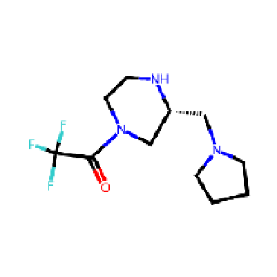 O=C(N1CCN[C@H](CN2CCCC2)C1)C(F)(F)F